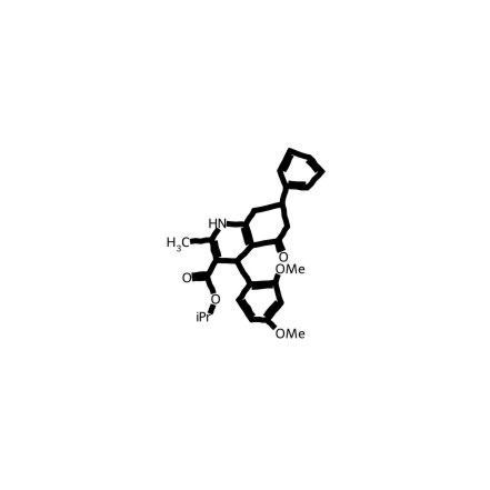 COc1ccc(C2C(C(=O)OC(C)C)=C(C)NC3=C2C(=O)CC(c2ccccc2)C3)c(OC)c1